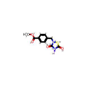 COC(=O)c1ccc(Cn2sc(=O)n(I)c2=O)cc1